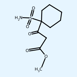 COC(=O)CC(=O)C1(S(N)(=O)=O)CCCCC1